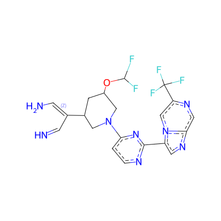 N=C/C(=C\N)C1CC(OC(F)F)CN(c2ccnc(-c3cnc4cnc(C(F)(F)F)cn34)n2)C1